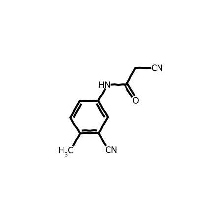 Cc1ccc(NC(=O)CC#N)cc1C#N